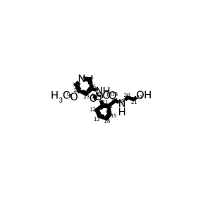 COc1cncc(NS(=O)(=O)c2ccccc2C(=O)NCCO)c1